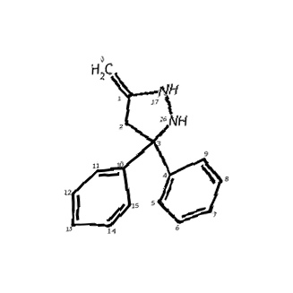 C=C1CC(c2ccccc2)(c2ccccc2)NN1